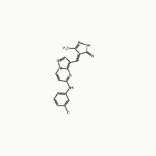 O=C1NN=C(C(F)(F)F)C1=Cc1cnn2ccc(Nc3cccc(Cl)c3)nc12